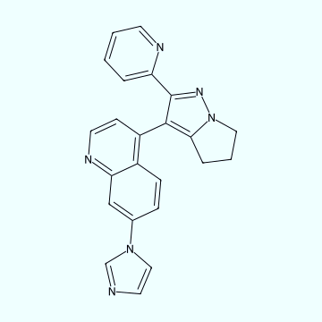 c1ccc(-c2nn3c(c2-c2ccnc4cc(-n5ccnc5)ccc24)CCC3)nc1